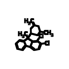 C=C1CC(C)CC(C2(C)c3ccccc3-c3ccc(Cl)c(Cl)c32)C1